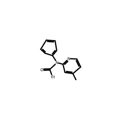 CCC(=O)N(c1ccccc1)c1cc(C)ccn1